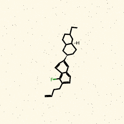 C=CCCc1ccc2cc([C@@H]3CC[C@@H]4CC(CC)CCC4C3)ccc2c1F